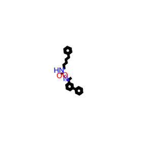 C/C(=N\OC(=O)NCCCCCc1ccccc1)c1cccc(-c2ccccc2)c1